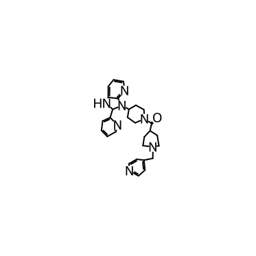 O=C(C1CCN(Cc2ccncc2)CC1)N1CCC(N2c3ncccc3NC2c2ccccn2)CC1